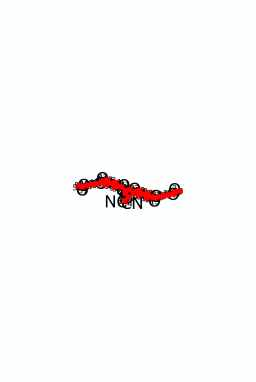 C=CC(=O)OCCCCCCOC(=O)C1CCC(C2CCC(C(=O)Oc3ccc(OC(=O)C4CCC(C5CCC(C(=O)OCCCCCCOC(=O)C=C)CC5)CC4)c4c3SC(=C(C#N)C#N)S4)CC2)CC1